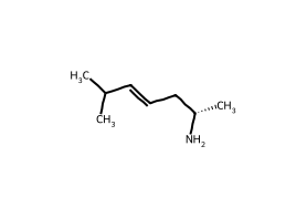 CC(C)/C=C/C[C@H](C)N